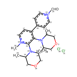 CC1COCC(C)N1c1c(-c2cc[n+](C=O)cc2)cc[n+](C)c1N1C(C)COC[C@H]1C.[Cl-].[Cl-]